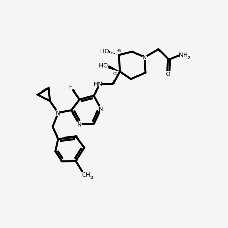 Cc1ccc(CN(c2ncnc(NC[C@@]3(O)CCN(CC(N)=O)C[C@H]3O)c2F)C2CC2)cc1